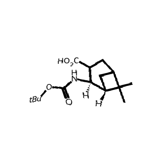 CC(C)(C)OC(=O)N[C@H]1C(C(=O)O)CC2C[C@@H]1C2(C)C